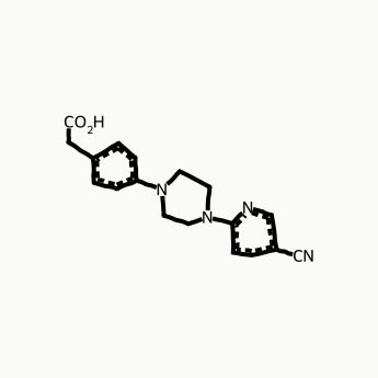 N#Cc1ccc(N2CCN(c3ccc(CC(=O)O)cc3)CC2)nc1